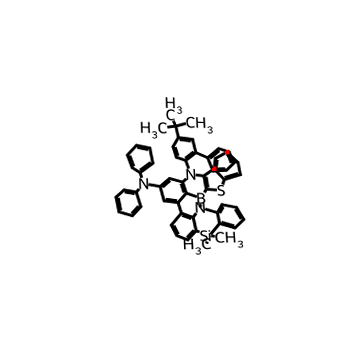 CC(C)(C)c1ccc(N2c3cc(N(c4ccccc4)c4ccccc4)cc4c3B(c3sc5ccccc5c32)N2c3ccccc3[Si](C)(C)c3cccc-4c32)c(-c2ccccc2)c1